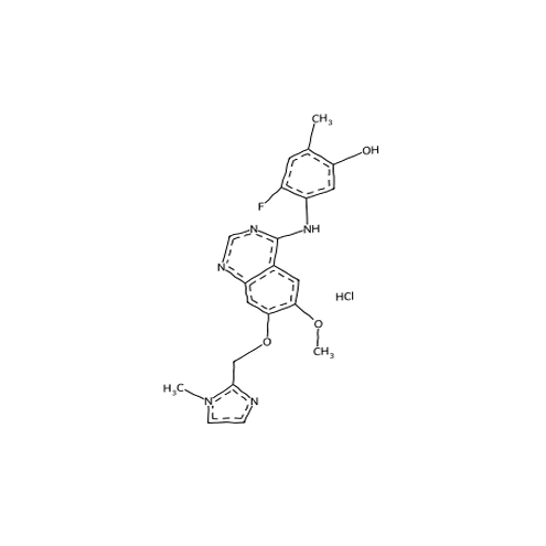 COc1cc2c(Nc3cc(O)c(C)cc3F)ncnc2cc1OCc1nccn1C.Cl